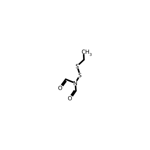 CCSSN(C=O)C=O